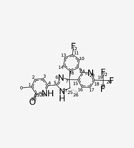 Cc1ccc(C2=N[C@](c3ccc(F)cc3)(c3ccc(C(F)(F)F)nc3)[C@H](C)N2)[nH]c1=O